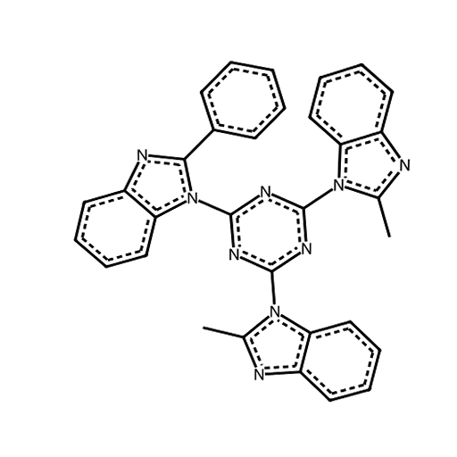 Cc1nc2ccccc2n1-c1nc(-n2c(C)nc3ccccc32)nc(-n2c(-c3ccccc3)nc3ccccc32)n1